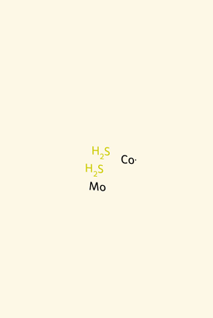 S.S.[Co].[Mo]